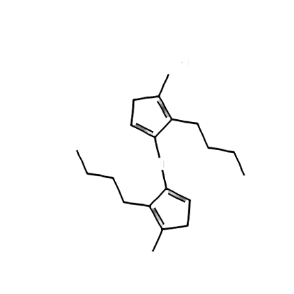 CCCCC1=C(C)CC=[C]1[Hf+2][C]1=CCC(C)=C1CCCC.[Cl-].[Cl-]